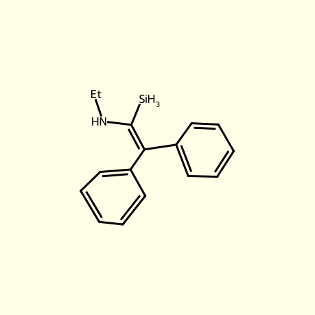 CCNC([SiH3])=C(c1ccccc1)c1ccccc1